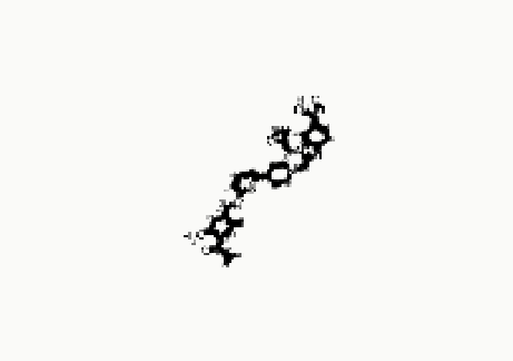 COC(=O)c1ccc2nc(CN3CCC(c4cccc(OCc5cc(C)c(C(=O)C6CC6)cc5F)n4)CC3)n(CC3CCO3)c2c1